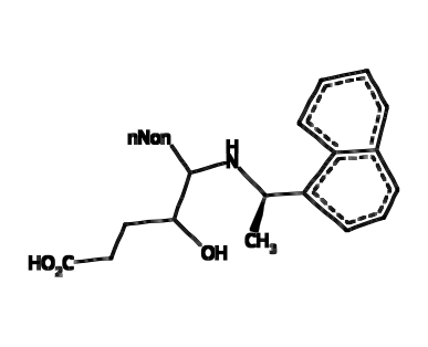 CCCCCCCCCC(N[C@H](C)c1cccc2ccccc12)C(O)CCC(=O)O